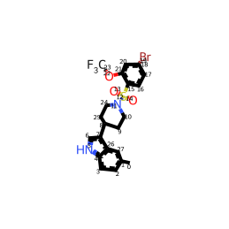 Cc1ccc2[nH]cc(C3CCN(S(=O)(=O)c4ccc(Br)cc4OC(F)(F)F)CC3)c2c1